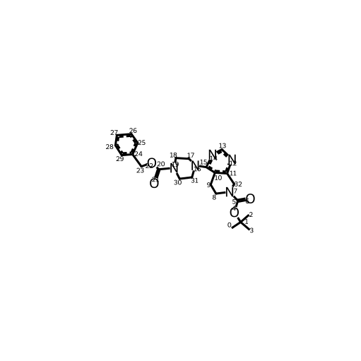 CC(C)(C)OC(=O)N1CCc2c(ncnc2N2CCN(C(=O)OCc3ccccc3)CC2)C1